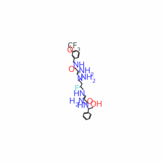 N/C(=C\N(N)CCC(F)CN/C=C(\N)C(=O)NC(CO)c1ccccc1)C(=O)NCc1cccc(OC(F)(F)F)c1